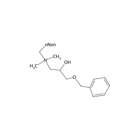 CCCCCCCCCC[N+](C)(C)CC(O)COCc1ccccc1